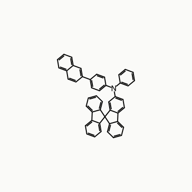 c1ccc(N(c2ccc(-c3ccc4ccccc4c3)cc2)c2ccc3c(c2)C2(c4ccccc4-c4ccccc42)c2ccccc2-3)cc1